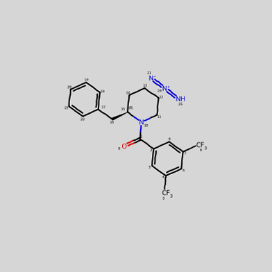 O=C(c1cc(C(F)(F)F)cc(C(F)(F)F)c1)N1CCCC[C@@H]1Cc1ccccc1.[N-]=[N+]=N